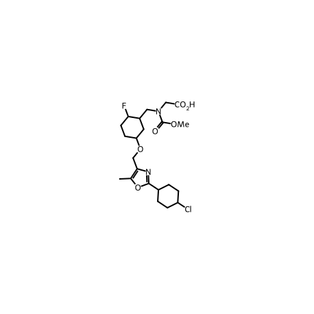 COC(=O)N(CC(=O)O)CC1CC(OCc2nc(C3CCC(Cl)CC3)oc2C)CCC1F